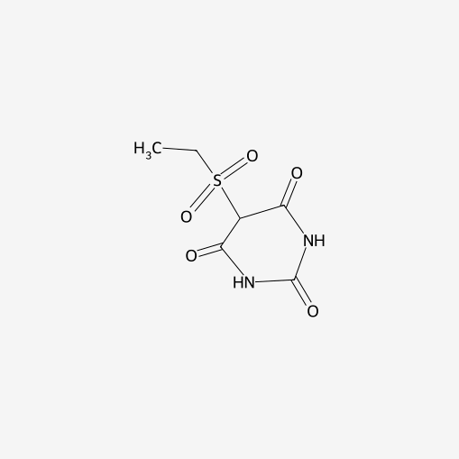 CCS(=O)(=O)C1C(=O)NC(=O)NC1=O